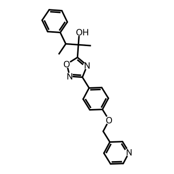 CC(c1ccccc1)C(C)(O)c1nc(-c2ccc(OCc3cccnc3)cc2)no1